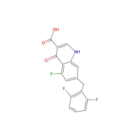 O=C(O)c1c[nH]c2cc(Cc3c(F)cccc3F)cc(F)c2c1=O